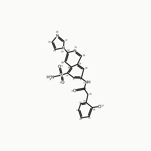 NS(=O)(=O)c1cc(NC(=O)Cc2ccccc2Cl)cc2cnc(-n3ccnc3)cc12